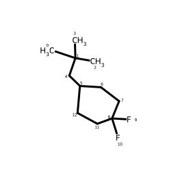 CC(C)(C)CC1CCC(F)(F)CC1